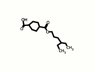 CCC(CC)CCCOC(=O)C1CCC(C(=O)O)CC1